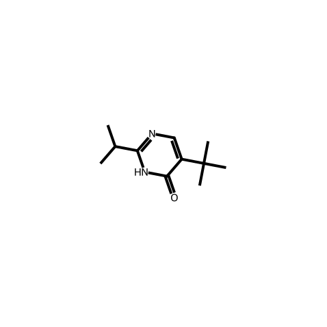 CC(C)c1ncc(C(C)(C)C)c(=O)[nH]1